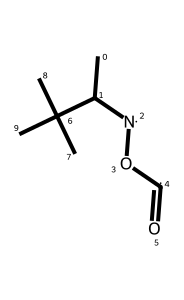 CC([N]O[C]=O)C(C)(C)C